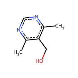 Cc1ncnc(C)c1CO